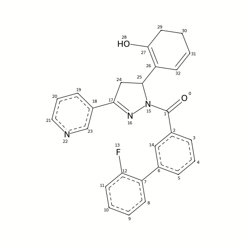 O=C(c1cccc(-c2ccccc2F)c1)N1N=C(c2cccnc2)CC1C1=C(O)CCC=C1